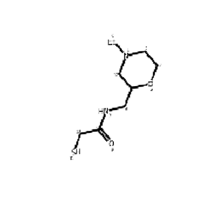 CCN1CCOC(CNC(=O)CS)C1